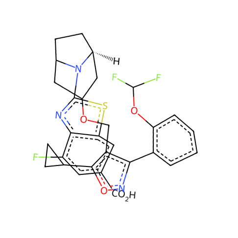 O=C(O)c1cc(F)c2nc(N3C4CC[C@H]3CC(OCc3c(-c5ccccc5OC(F)F)noc3C3CC3)C4)sc2c1